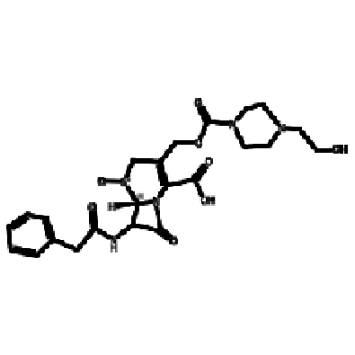 O=C(Cc1ccccc1)NC1C(=O)N2C(C(=O)O)=C(COC(=O)N3CCN(CCO)CC3)C[S+]([O-])[C@@H]12